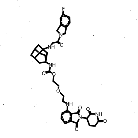 O=C1CCC(N2C(=O)c3cccc(NCCOCCOC(=O)NC45CC6CC7CC(NCC(=O)N8Cc9ccc(F)cc9C8)(C4)C67C5)c3C2=O)C(=O)N1